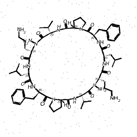 CC(C)C[C@@H]1NC(=O)[C@H](CCCN)N(N)C(=O)[C@H](C(C)C)NC(=O)[C@@H]2CCCN2C(=O)[C@@H](Cc2ccccc2)NC(=O)[C@H](CC(C)C)NC(=O)[C@H](CCCN)N(N)C(=O)[C@H](C(C)C)NC(=O)[C@@H]2CCCN2C(=O)[C@@H](Cc2ccccc2)NC1=O